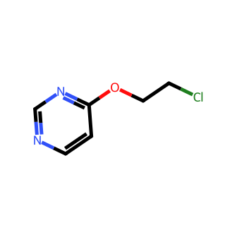 ClCCOc1ccncn1